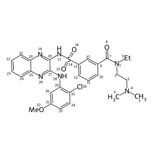 CCN(CCN(C)C)C(=O)c1cccc(S(=O)(=O)Nc2nc3ccccc3nc2Nc2cc(OC)ccc2Cl)c1